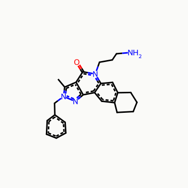 Cc1c2c(=O)n(CCCN)c3cc4c(cc3c2nn1Cc1ccccc1)CCCC4